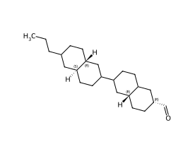 CCCC1CC[C@@H]2CC(C3CCC4C[C@H](C=O)CC[C@@H]4C3)CC[C@H]2C1